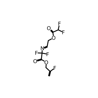 C=C(F)COC(=O)C(F)(F)/N=C/COC(=O)C(F)F